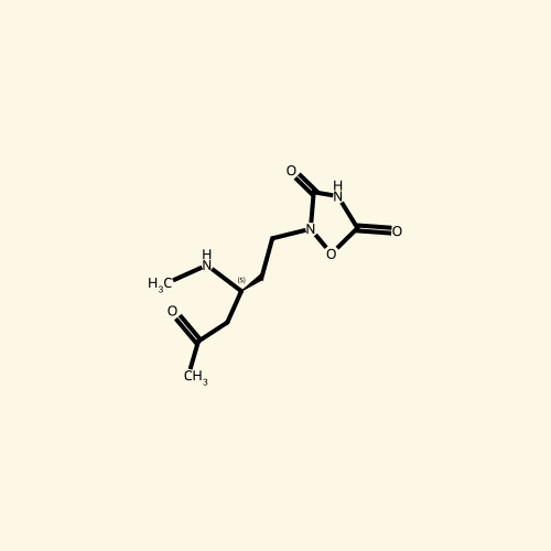 CN[C@@H](CCn1oc(=O)[nH]c1=O)CC(C)=O